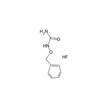 F.NC(=O)NOCc1ccccc1